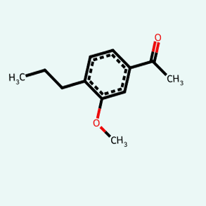 CCCc1ccc(C(C)=O)cc1OC